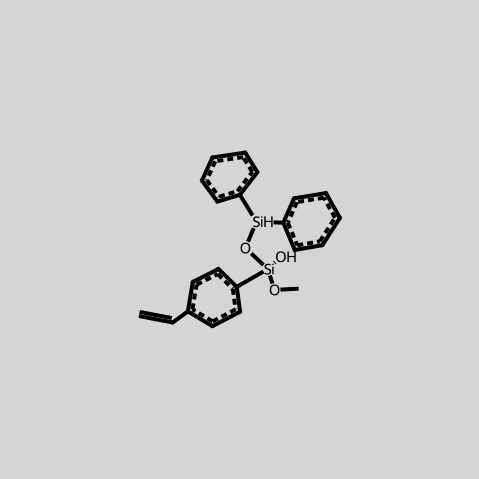 C=Cc1ccc([Si](O)(OC)O[SiH](c2ccccc2)c2ccccc2)cc1